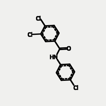 O=C(Nc1ccc(Cl)cc1)c1ccc(Cl)c(Cl)c1